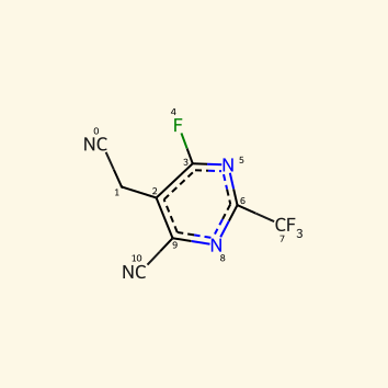 N#CCc1c(F)nc(C(F)(F)F)nc1C#N